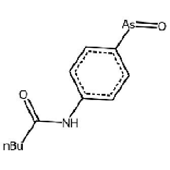 CCCCC(=O)Nc1ccc([As]=O)cc1